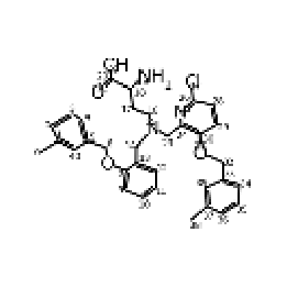 Cc1cccc(COc2ccccc2CN(CC[C@H](N)C(=O)O)Cc2nc(Cl)ccc2OCc2cccc(C)c2)c1